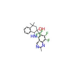 Cc1ncc2c(NC3c4ccccc4C(C)(C)CC3(O)C(F)(F)F)cc(F)c(F)c2n1